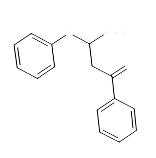 O=C(CC(Sc1ccccc1)C(=O)O)c1ccccc1